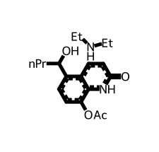 CCCC(O)c1ccc(OC(C)=O)c2[nH]c(=O)ccc12.CCNCC